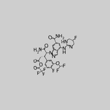 NC(=O)c1cc(NC2=NCC(F)CN2)c2cnn(C(C(N)=O)[C@@H](CC(=O)OC(=O)C(F)(F)F)c3ccc(F)c(OC(F)F)c3)c2c1